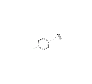 Clc1ccc(C2C#C2)cc1